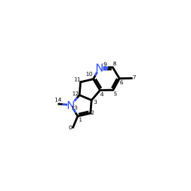 CC1=CC2c3cc(C)cnc3CC2N1C